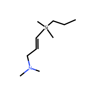 CCC[Si](C)(C)C=CCN(C)C